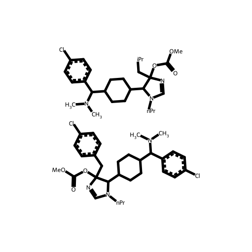 CCCN1C=NC(CC(C)C)(OC(=O)OC)C1C1CCC(C(c2ccc(Cl)cc2)N(C)C)CC1.CCCN1C=NC(Cc2ccc(Cl)cc2)(OC(=O)OC)C1C1CCC(C(c2ccc(Cl)cc2)N(C)C)CC1